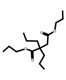 CCCOC(=O)CC(CCC)(CCC)C(=O)OCCC